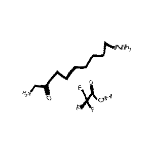 NCCCCCCCC(=O)CN.O=C(O)C(F)(F)F